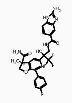 C[C@]1(C(N)=O)COc2c1cc(C(O)(CNC(=O)c1ccc3[nH]c(N)nc3c1)C(F)(F)F)nc2-c1ccc(F)cc1